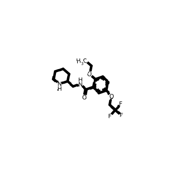 CCOc1ccc(OCC(F)(F)F)cc1C(=O)NCC1CCCCN1